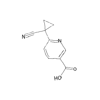 N#CC1(c2ccc(C(=O)O)cn2)CC1